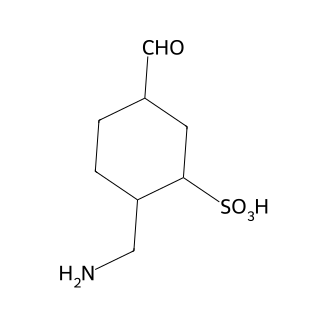 NCC1CCC(C=O)CC1S(=O)(=O)O